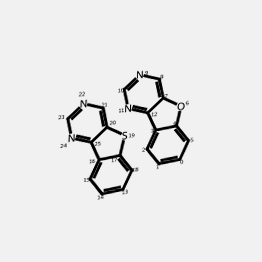 c1ccc2c(c1)oc1cncnc12.c1ccc2c(c1)sc1cncnc12